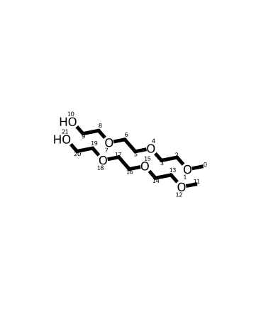 COCCOCCOCCO.COCCOCCOCCO